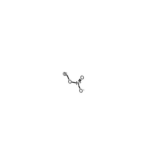 O=[N+]([O-])[O][Bi]